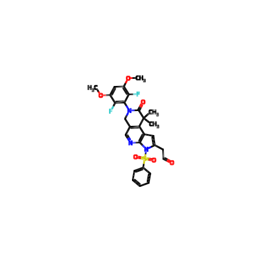 COc1cc(OC)c(F)c(N2Cc3cnc4c(cc(CC=O)n4S(=O)(=O)c4ccccc4)c3C(C)(C)C2=O)c1F